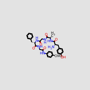 COc1ccc(NC(=O)CNC(=O)[C@H](Cc2ccccc2)NC(=O)CNC(=O)[C@@H](C)NC(=O)[C@@H](N)Cc2ccc(O)cc2)cc1